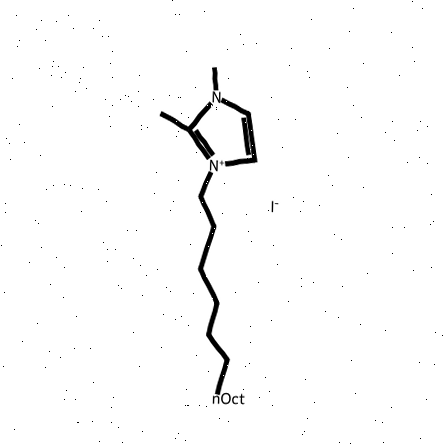 CCCCCCCCCCCCCC[n+]1ccn(C)c1C.[I-]